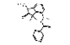 C[C@H](OC(=O)c1ccccc1)c1cccc2c1C(F)(F)C(=O)N2C(=O)O